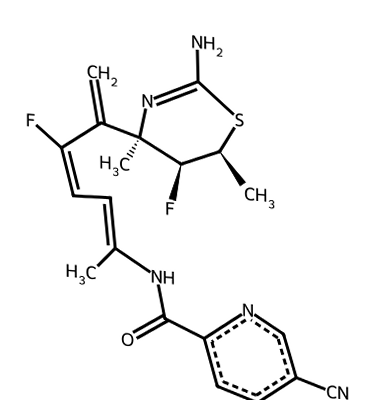 C=C(/C(F)=C\C=C(/C)NC(=O)c1ccc(C#N)cn1)[C@@]1(C)N=C(N)S[C@@H](C)[C@H]1F